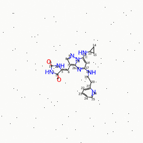 O=C1NC(=O)/C(=C/c2cnn3c(NC4CC4)cc(NCCc4ccccn4)nc23)N1